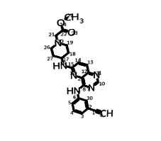 C#Cc1cccc(Nc2ncnc3ccc(NC4CCN(CC(=O)OC)CC4)nc23)c1